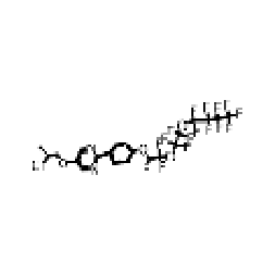 C[C@H](Cl)COc1cnc(-c2ccc(OC(F)C(F)(F)OC(F)(F)C(F)(F)OC(F)(F)C(F)(F)C(F)(F)C(F)(F)F)cc2)nc1